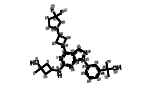 CC1(O)CC(Nc2nc(N3CC(N4CCC(F)(F)C4)C3)c3cnn(-c4cccc(C(C)(C)O)c4)c3n2)C1